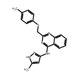 Cc1ccc(SCc2nc(Nc3cc(C)[nH]n3)c3ccccc3n2)cc1